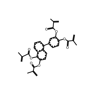 C=C(C)C(=O)Oc1ccc(-c2cccc3c(OC(=O)C(=C)C)c(OC(=O)C(=C)C)ccc23)cc1OC(=O)C(=C)C